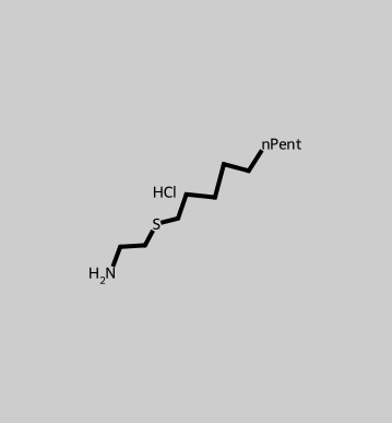 CCCCCCCCCCSCCN.Cl